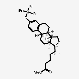 COC(=O)CCC[C@@H](C)[C@H]1CC[C@H]2[C@@H]3CCc4cc(O[Si](C(C)C)(C(C)C)C(C)C)ccc4[C@H]3CC[C@]12C